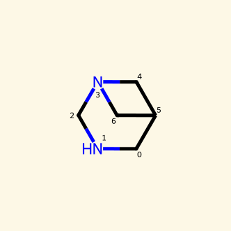 C1NCN2CC1C2